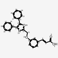 O=C(O)C=Cc1cccc(OCc2nc(-c3ccccc3)c(-c3ccccc3)o2)c1